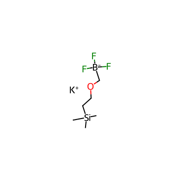 C[Si](C)(C)CCOC[B-](F)(F)F.[K+]